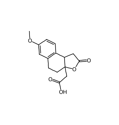 COc1ccc2c(c1)CCC1(CC(=O)O)OC(=O)CC21